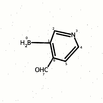 Bc1cnccc1C=O